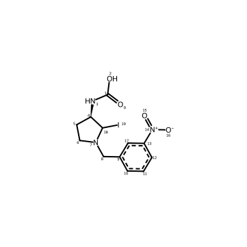 O=C(O)N[C@@H]1CCN(Cc2cccc([N+](=O)[O-])c2)C1I